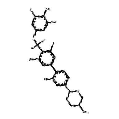 CCCCC1CCC(c2ccc(-c3cc(F)c(C(F)(F)Oc4cc(F)c(C(F)(F)F)c(F)c4)c(F)c3)c(F)c2)OC1